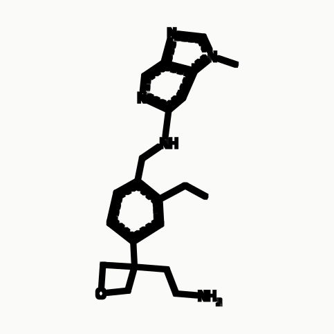 CCc1cc(C2(CCN)COC2)ccc1CNc1cc2c(cn1)ncn2C